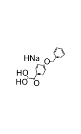 O=C(c1ccc(OCc2ccccc2)cc1)C(O)O.[NaH]